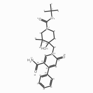 CC(C)(C)OC(=O)N1CCC(O)(Cn2cc(C(N)=O)c(-c3ccccc3)cc2=O)C(C)(C)C1